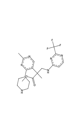 COC(=O)C(C)(CNc1ccnc(C(F)(F)F)n1)c1cnc(C)nc1C1CCNCC1